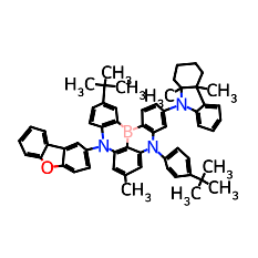 Cc1cc2c3c(c1)N(c1ccc(C(C)(C)C)cc1)c1cc(N4c5ccccc5C5(C)CCCCC45C)ccc1B3c1cc(C(C)(C)C)ccc1N2c1ccc2oc3ccccc3c2c1